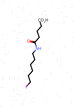 O=C(O)CCCC(=O)NCCCCCCI